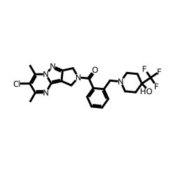 Cc1nc2c3c(nn2c(C)c1Cl)CN(C(=O)c1ccccc1CN1CCC(O)(C(F)(F)F)CC1)C3